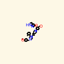 COc1ccc(CN2CCN(C3CC4(CCN(c5ccc(C=O)c(Oc6cnc7[nH]ccc7c6)c5)CC4)C3)C(c3ccccc3C)C2)cc1